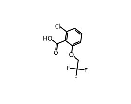 O=C(O)c1c(Cl)cccc1OCC(F)(F)F